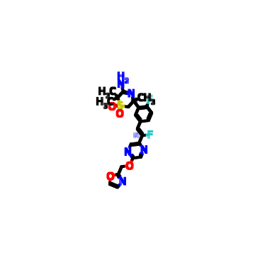 CC1(C)C(N)=N[C@](C)(c2cc(/C=C(\F)c3cnc(OCc4ncco4)cn3)ccc2F)CS1(=O)=O